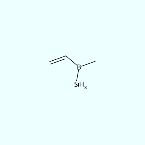 C=CB(C)[SiH3]